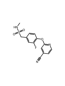 CNS(=O)(=O)Cc1ccc(Oc2cc(C#N)ccn2)c(F)c1